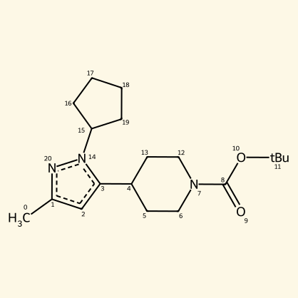 Cc1cc(C2CCN(C(=O)OC(C)(C)C)CC2)n(C2CCCC2)n1